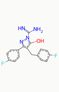 N=C(N)n1nc(-c2ccc(F)cc2)c(Cc2ccc(F)cc2)c1O